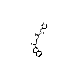 O=C(CCSC(=S)NCc1cccnc1)c1ccc2ccccc2c1